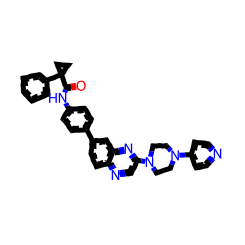 O=C(Nc1ccc(-c2ccc3ncc(N4CCN(c5ccncc5)CC4)nc3c2)cc1)C1(c2ccccc2)CC1